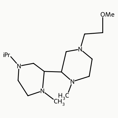 COCCN1CCN(C)C(C2CN(C(C)C)CCN2C)C1